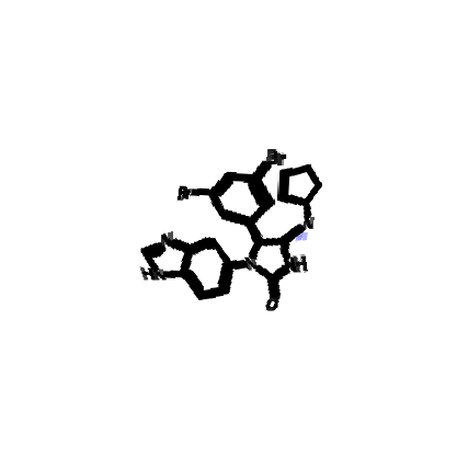 O=C1N/C(=N/C2CCCC2)C(c2cc(Br)cc(Br)c2)N1c1ccc2[nH]cnc2c1